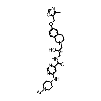 CC(=O)N1CCC(Nc2cc(C(=O)NC[C@@H](O)CN3CCc4cc(OCc5ocnc5C)ccc4C3)ncn2)CC1